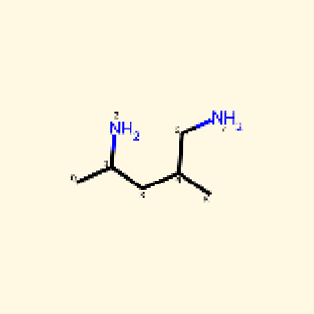 CC(N)CC(C)[CH]N